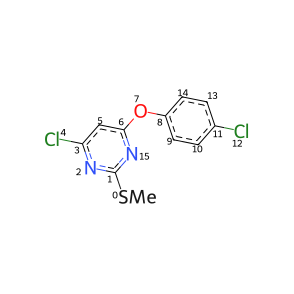 CSc1nc(Cl)cc(Oc2ccc(Cl)cc2)n1